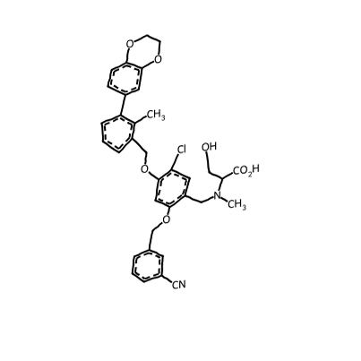 Cc1c(COc2cc(OCc3cccc(C#N)c3)c(CN(C)C(CO)C(=O)O)cc2Cl)cccc1-c1ccc2c(c1)OCCO2